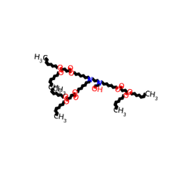 CC/C=C\CCCCOC(CCC(=O)OCCCCCCCN(CCO)CCCN(CCCCCCCOC(=O)CCC(OCCCC/C=C\CC)OCCCC/C=C\CC)CCCCCCCOC(=O)CCC(OCCCC/C=C\CC)OCCCC/C=C\CC)OCCCC/C=C\CC